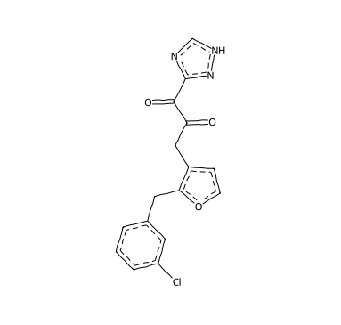 O=C(Cc1ccoc1Cc1cccc(Cl)c1)C(=O)c1nc[nH]n1